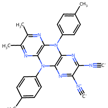 [C-]#[N+]c1nc2c(nc1[N+]#[C-])N(c1ccc(C)cc1)c1nc(C)c(C)nc1N2c1ccc(C)cc1